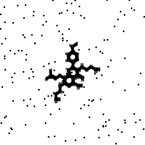 COc1ccc(-c2oc3c(CC=C(C)C)c(OCCO)cc(O)c3c(=O)c2OCCO)cc1